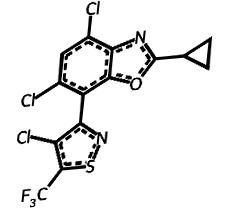 FC(F)(F)c1snc(-c2c(Cl)cc(Cl)c3nc(C4CC4)oc23)c1Cl